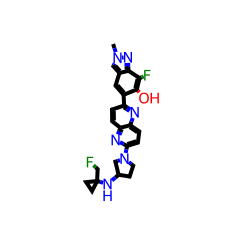 Cn1cc2cc(-c3ccc4nc(N5CCC(NC6(CF)CC6)C5)ccc4n3)c(O)c(F)c2n1